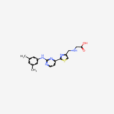 Cc1cc(C)cc(Nc2nccc(-c3nc(CNCC(=O)O)cs3)n2)c1